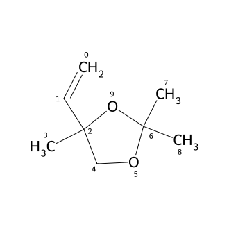 C=CC1(C)COC(C)(C)O1